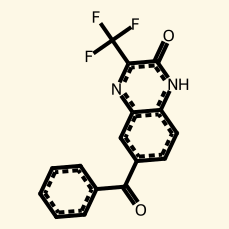 O=C(c1ccccc1)c1ccc2[nH]c(=O)c(C(F)(F)F)nc2c1